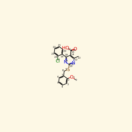 COc1ccccc1CSc1nc(C)c(C(=O)O)c(-c2ccccc2Cl)n1